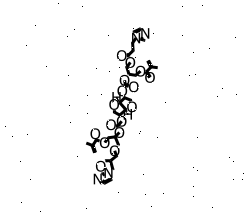 C=C(C)C(=O)OCC(COCC(C=O)Cn1ccnc1)OC(=O)O[C@H]1CO[C@H]2[C@@H]1OC[C@H]2OC(=O)OC(COC(=O)CCn1ccnc1)COC(=O)C(=C)C